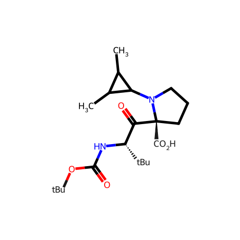 CC1C(C)C1N1CCC[C@]1(C(=O)O)C(=O)[C@@H](NC(=O)OC(C)(C)C)C(C)(C)C